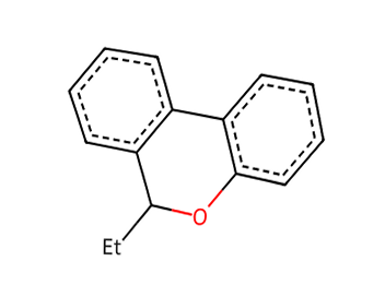 CCC1Oc2ccccc2-c2ccccc21